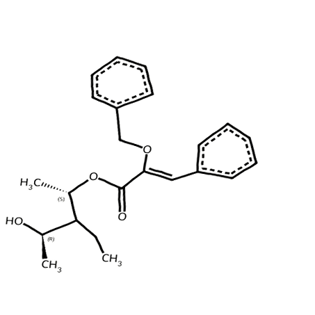 CCC([C@H](C)OC(=O)C(=Cc1ccccc1)OCc1ccccc1)[C@@H](C)O